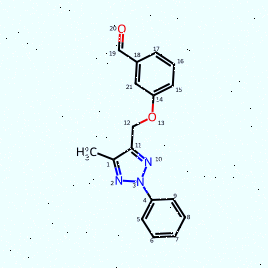 Cc1nn(-c2ccccc2)nc1COc1cccc(C=O)c1